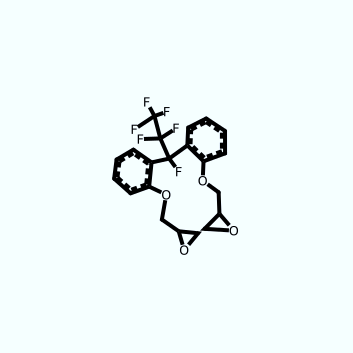 FC(F)(F)C(F)(F)C(F)(c1ccccc1OCC1CO1)c1ccccc1OCC1CO1